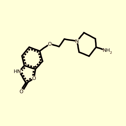 NC1CCN(CCOc2ccc3[nH]c(=O)oc3c2)CC1